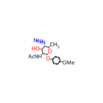 COc1ccc(O[C@H]2O[C@H](C)[C@@H](N=[N+]=[N-])[C@H](O)[C@@H]2NC(C)=O)cc1